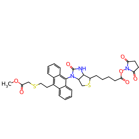 COC(=O)CSCCc1c2ccccc2c(N2C(=O)NC3C(CCCCC(=O)ON4C(=O)CCC4=O)SCC32)c2ccccc12